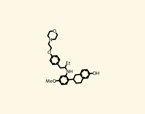 CCC(Cc1ccc(OCCN2CCOCC2)cc1)Nc1cc(OC)ccc1C1CCc2cc(O)ccc2C1